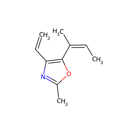 C=Cc1nc(C)oc1/C(C)=C\C